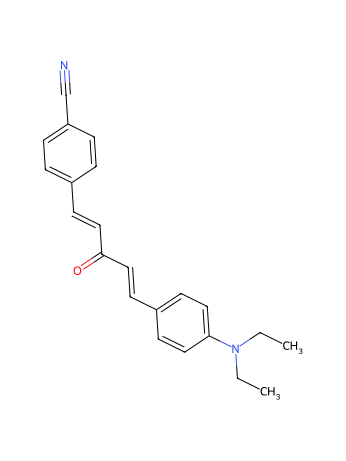 CCN(CC)c1ccc(/C=C/C(=O)/C=C/c2ccc(C#N)cc2)cc1